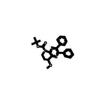 COC1CCN(C(=O)OC(C)(C)C)c2nc(-c3ccccc3)c(-c3ccccc3)nc21